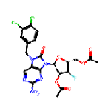 CC(=O)OC[C@H]1O[C@H](n2c(=O)n(Cc3ccc(Cl)c(Cl)c3)c3cnc(N)nc32)[C@H](OC(C)=O)[C@@H]1F